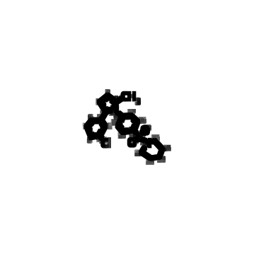 Cc1ccc(-c2cccc(Cl)c2)n1-c1ccc(S(=O)(=O)N2CCCCC2)cc1